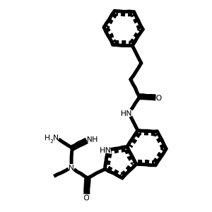 CN(C(=N)N)C(=O)c1cc2cccc(NC(=O)CCc3ccccc3)c2[nH]1